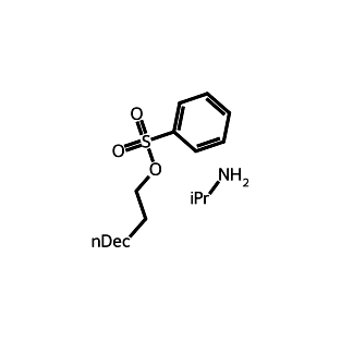 CC(C)N.CCCCCCCCCCCCOS(=O)(=O)c1ccccc1